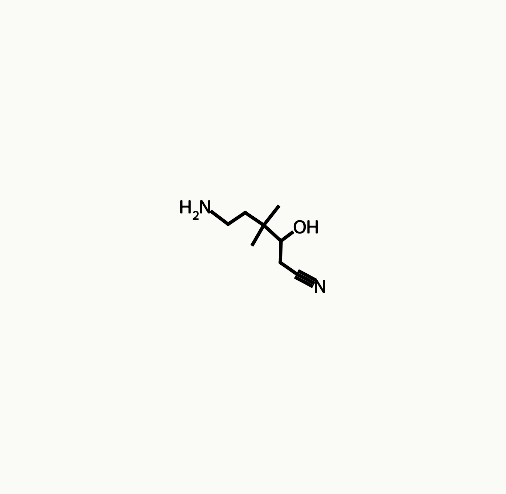 CC(C)(CCN)C(O)CC#N